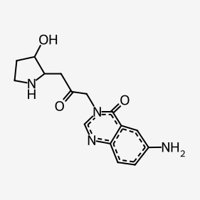 Nc1ccc2ncn(CC(=O)CC3NCCC3O)c(=O)c2c1